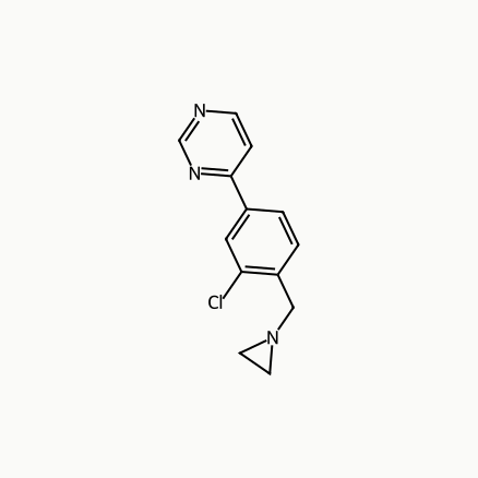 Clc1cc(-c2ccncn2)ccc1CN1CC1